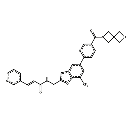 O=C(C=Cc1cccnc1)NCc1cc2cc(-c3ccc(C(=O)N4CC5(COC5)C4)cn3)cc(C(F)(F)F)c2o1